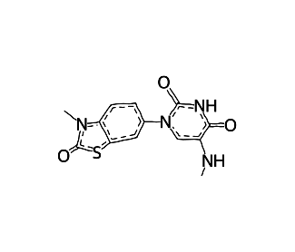 CNc1cn(-c2ccc3c(c2)sc(=O)n3C)c(=O)[nH]c1=O